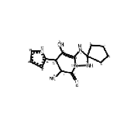 N#CC1=C2NC3(CCCC3)NN2C(=O)C(C#N)C1c1ccco1